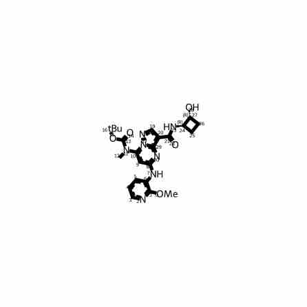 COc1ncccc1Nc1cc(N(C)C(=O)OC(C)(C)C)n2ncc(C(=O)N[C@@H]3CC[C@H]3O)c2n1